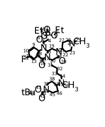 CCOP(=O)(CC(=O)N1c2ccc(F)cc2C(=O)N2C1CN(C1CCN(C)CC1)C(=O)[C@@H]2CCCCN(C)C1CCN(C(=O)OC(C)(C)C)CC1)OCC